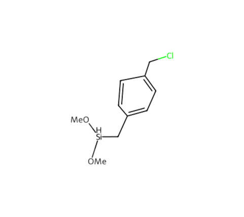 CO[SiH](Cc1ccc(CCl)cc1)OC